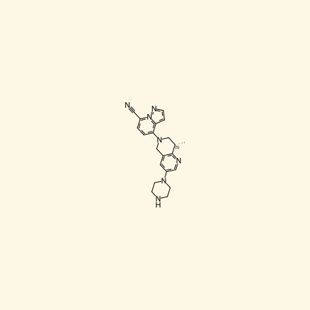 C[C@H]1CN(c2ccc(C#N)n3nccc23)Cc2cc(N3CCNCC3)cnc21